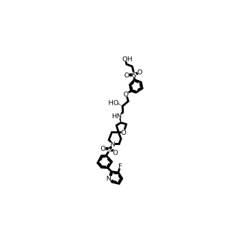 O=S(=O)(CCO)c1cccc(OC[C@@H](O)CN[C@H]2COC3(CCN(S(=O)(=O)c4cccc(-c5ncccc5F)c4)CC3)C2)c1